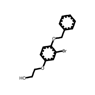 OCCOc1ccc(OCc2ccccc2)c(Br)c1